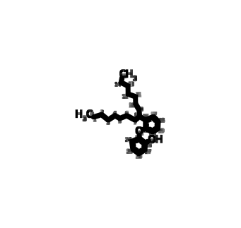 CCCCCCCCC(CCCCCCC)c1ccccc1Oc1ccccc1O